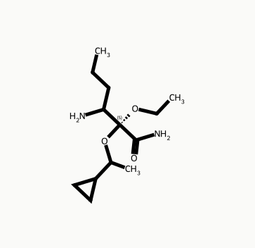 CCCC(N)[C@](OCC)(OC(C)C1CC1)C(N)=O